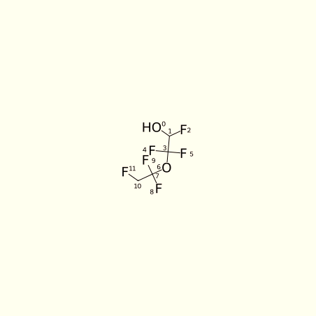 OC(F)C(F)(F)OC(F)(F)CF